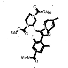 CNC(=O)c1cc(F)c(-c2nc3cc(C)ccn3c2C[C@H]2CN(C(=O)OC)CCN2C(=O)OC(C)(C)C)c(I)c1